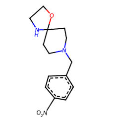 O=[N+]([O-])c1ccc(CN2CCC3(CC2)NCCO3)cc1